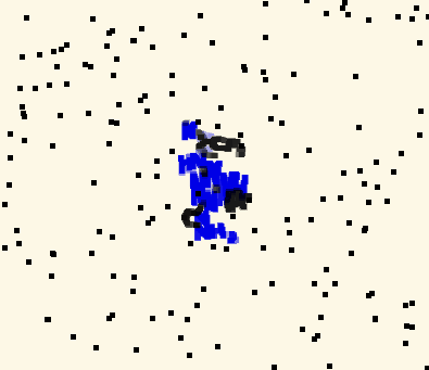 C=N/C=C(\C=C(/C)Nc1nc(NC(C)C)nc(-c2cccc(N)n2)n1)C(F)(F)F